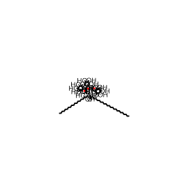 CCCCCCCCCCCCCCCCCCCCCCCC(=O)N[C@@H](COP(=O)(O)O[C@H]1C(O)C(O)C(O)[C@@H](O)C1O[C@H]1O[C@H](COP(=O)(O)OC2C(O)C(O)C(O)[C@@H](O)C2O)[C@@H](O)C(O)C1O)[C@H](O)[C@H](O)CCCCCCCCCCCCCCCC